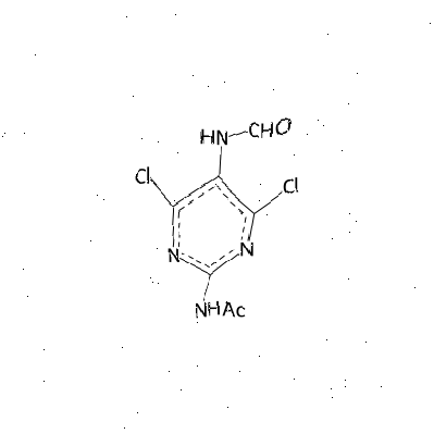 CC(=O)Nc1nc(Cl)c(NC=O)c(Cl)n1